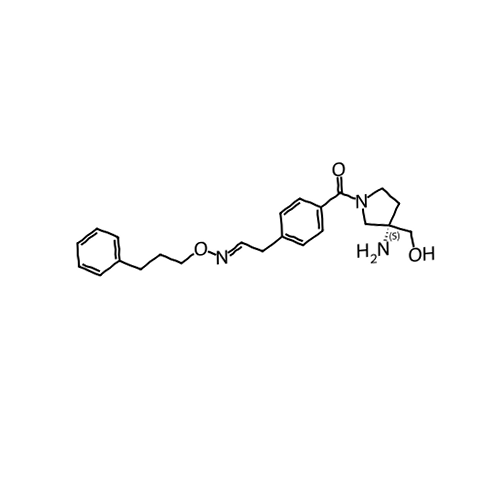 N[C@@]1(CO)CCN(C(=O)c2ccc(CC=NOCCCc3ccccc3)cc2)C1